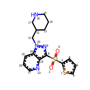 O=S(=O)(c1cccs1)c1nn(CC2CCCNC2)c2cccnc12